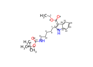 CCOC(=O)c1c(CCCCCNC(=O)OC(C)(C)C)[nH]c2ccccc12